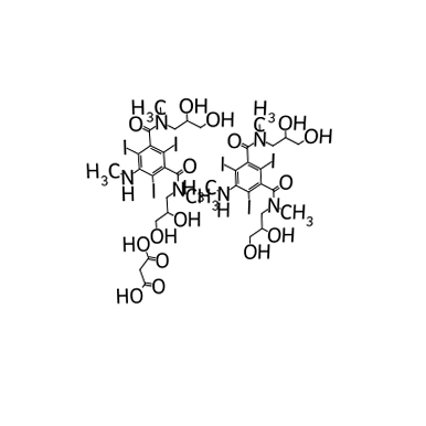 CNc1c(I)c(C(=O)N(C)CC(O)CO)c(I)c(C(=O)N(C)CC(O)CO)c1I.CNc1c(I)c(C(=O)N(C)CC(O)CO)c(I)c(C(=O)N(C)CC(O)CO)c1I.O=C(O)CC(=O)O